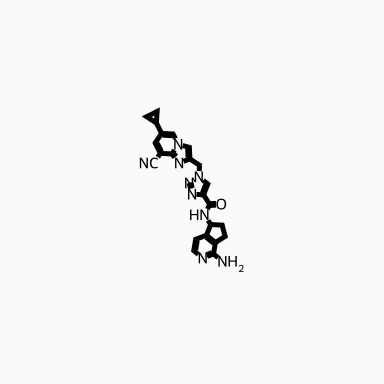 N#Cc1cc(C2CC2)cn2cc(Cn3cc(C(=O)NC4CCc5c4ccnc5N)nn3)nc12